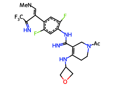 CN/C=C(\C(=N)C(F)(F)F)c1cc(F)c(NC(=N)C2=C(NC3COC3)CCN(C(C)=O)C2)cc1F